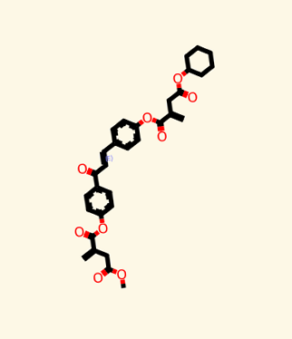 C=C(CC(=O)OC)C(=O)Oc1ccc(C(=O)/C=C/c2ccc(OC(=O)C(=C)CC(=O)OC3CCCCC3)cc2)cc1